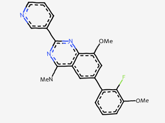 CNc1nc(-c2cccnc2)nc2c(OC)cc(-c3cccc(OC)c3F)cc12